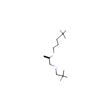 C=C(CNCC(C)(C)C(C)C)NCCCC(C)(C)CC